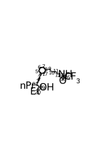 CCCC(C#Cc1cccc(CCCCNC(=O)C(F)(F)F)c1)C(O)CC